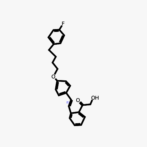 O=C(CO)c1ccccc1/C=C/c1ccc(OCCCCc2ccc(F)cc2)cc1